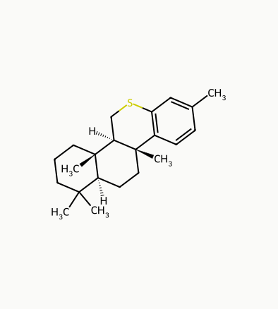 Cc1ccc2c(c1)SC[C@@H]1[C@@]3(C)CCCC(C)(C)[C@@H]3CC[C@@]21C